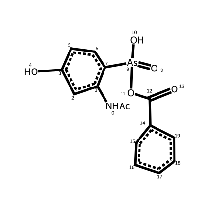 CC(=O)Nc1cc(O)ccc1[As](=O)(O)OC(=O)c1ccccc1